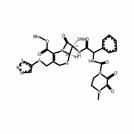 CS[C@@]1(NC(=O)C(NC(=O)N2CCN(C)C(=O)C2=O)c2ccccc2)C(=O)N2C(C(=O)OC(C)(C)C)=C(CSc3cnns3)CS[C@@H]21